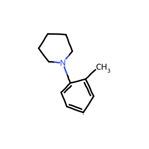 Cc1c[c]ccc1N1CCCCC1